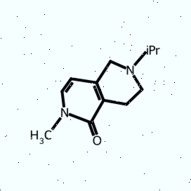 CC(C)N1CCc2c(ccn(C)c2=O)C1